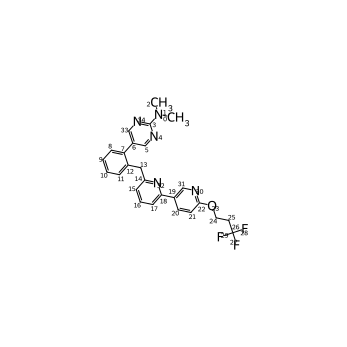 CN(C)c1ncc(-c2ccccc2Cc2cccc(-c3ccc(OCCC(F)(F)F)nc3)n2)cn1